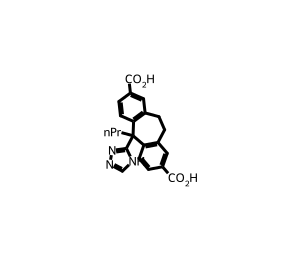 CCCC1(c2nnc[nH]2)c2ccc(C(=O)O)cc2CCc2cc(C(=O)O)ccc21